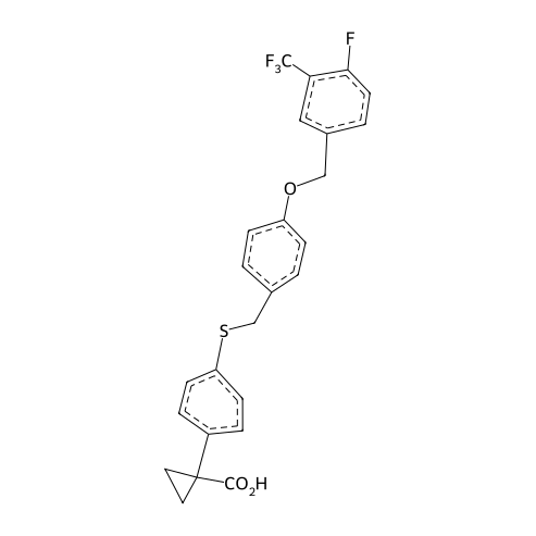 O=C(O)C1(c2ccc(SCc3ccc(OCc4ccc(F)c(C(F)(F)F)c4)cc3)cc2)CC1